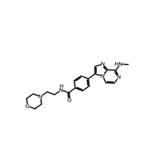 CNc1nccn2c(-c3ccc(C(=O)NCCN4CCOCC4)cc3)cnc12